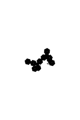 c1ccc(-c2ccc(N(c3ccc(-c4ccc5c(c4)c4c6sc7ccccc7c6ccc4n5-c4ccccc4)cc3)c3cccc4ccccc34)cc2)cc1